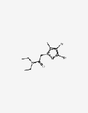 CCN(CC)C(=O)Cn1nc(Br)c(Br)c1C